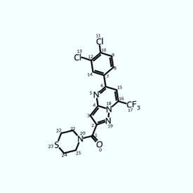 O=C(c1cc2nc(-c3ccc(Cl)c(Cl)c3)cc(C(F)(F)F)n2n1)N1CCSCC1